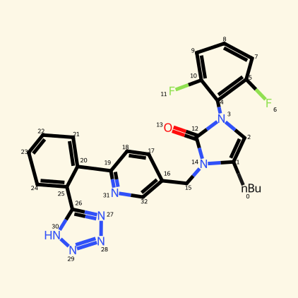 CCCCc1cn(-c2c(F)cccc2F)c(=O)n1Cc1ccc(-c2ccccc2-c2nnn[nH]2)nc1